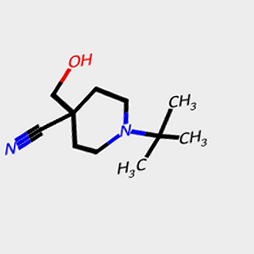 CC(C)(C)N1CCC(C#N)(CO)CC1